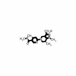 C[C@@H]1CN(c2ccc(C(=O)N(C)C)cn2)Cc2c(C(=O)O)nn(C)c21